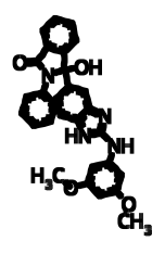 COc1cc(Nc2nc3cc(C4(O)c5ccccc5C(=O)N4c4ccccc4)ccc3[nH]2)cc(OC)c1